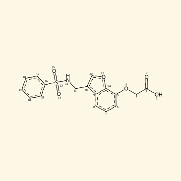 O=C(O)COc1cccc2c(CNS(=O)(=O)c3ccccc3)coc12